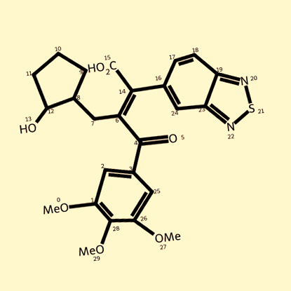 COc1cc(C(=O)C(CC2CCCC2O)=C(C(=O)O)c2ccc3nsnc3c2)cc(OC)c1OC